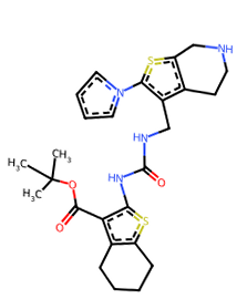 CC(C)(C)OC(=O)c1c(NC(=O)NCc2c(-n3cccc3)sc3c2CCNC3)sc2c1CCCC2